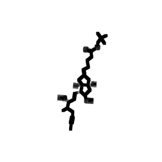 CC#CCC(C)[C@H](O)/C=C/[C@@H]1[C@H]2C/C(=C/CCCC(=O)OCC(C)(C)C)C[C@H]2C[C@H]1O